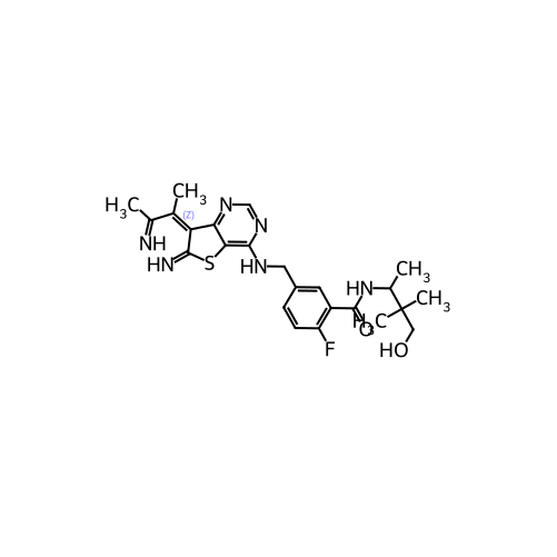 CC(=N)/C(C)=C1\C(=N)Sc2c(NCc3ccc(F)c(C(=O)NC(C)C(C)(C)CO)c3)ncnc21